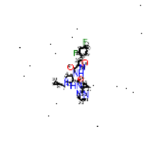 O=C(N[C@H]1CCN(CC2CC2)C[C@H]1C(=O)NC1(c2ncccn2)CC1)c1cc(-c2ccc(F)cc2F)on1